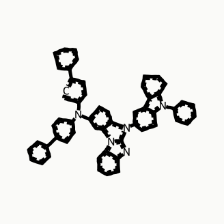 c1ccc(-c2ccc(N(c3ccc(-c4ccccc4)cc3)c3ccc4c(c3)n3c5ccccc5nc3n4-c3ccc4c(c3)c3ccccc3n4-c3ccccc3)cc2)cc1